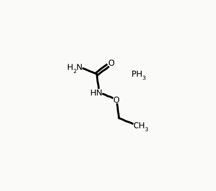 CCONC(N)=O.P